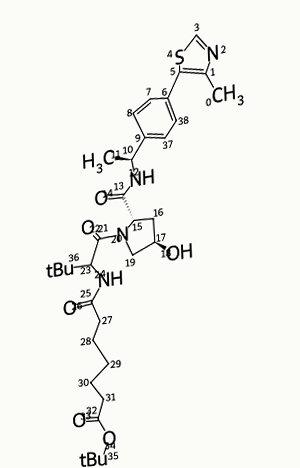 Cc1ncsc1-c1ccc([C@H](C)NC(=O)[C@@H]2C[C@@H](O)CN2C(=O)C(NC(=O)CCCCCC(=O)OC(C)(C)C)C(C)(C)C)cc1